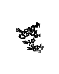 CC(C)c1cnn2c(N(Cc3ccccc3)C(=O)OC(C)(C)C)cc(N[C@H]3C[C@@H](CO[Si](C)(C)C(C)(C)C)N(C(=O)OC(C)(C)C)C3)nc12